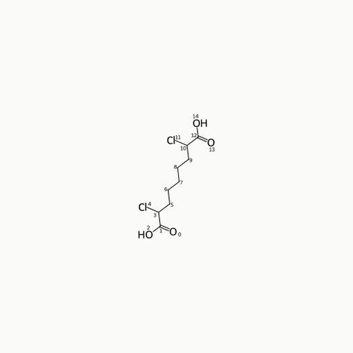 O=C(O)C(Cl)CCCCCC(Cl)C(=O)O